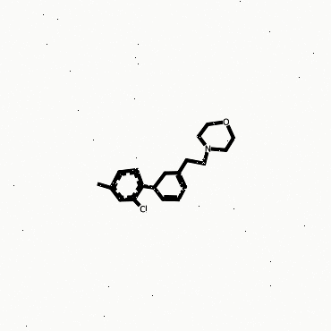 Cc1ccc(C2C=CC=C(CCN3CCOCC3)C2)c(Cl)c1